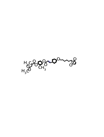 C=C(CC(=O)OC)C(=O)Oc1ccc(OC(=O)/C=C/c2ccc(OCCCCCCN3C(=O)C=CC3=O)cc2)cc1C